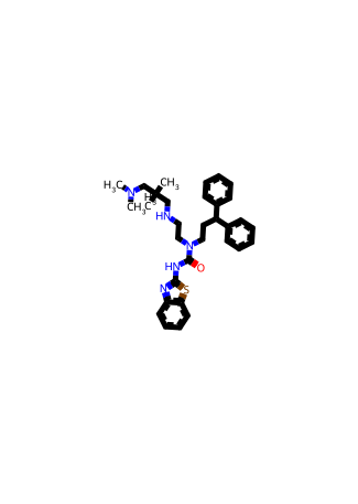 CN(C)CC(C)(C)CNCCN(CCC(c1ccccc1)c1ccccc1)C(=O)Nc1nc2ccccc2s1